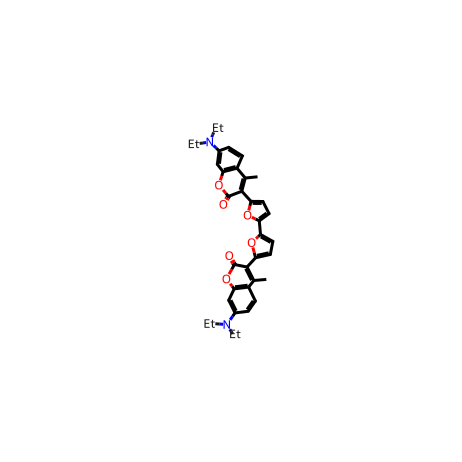 CCN(CC)c1ccc2c(C)c(-c3ccc(-c4ccc(-c5c(C)c6ccc(N(CC)CC)cc6oc5=O)o4)o3)c(=O)oc2c1